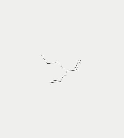 C=C[SiH](C=C)OCC